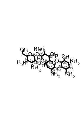 CNC1C(O[C@H]2OC(CO)[C@@H](N)[C@H](N)C2O)O[C@H]2CC(N)[C@@H](O[C@@H]3C(N)C[C@@H](N)C(O)[C@H]3O)OC2C1O